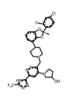 C[C@]1(c2ccc(Cl)cc2F)Oc2cccc(C3CCN(Cc4nnc(-c5nnc(C(F)(F)F)[nH]5)cc4N4CCC(O)C4)CC3)c2O1